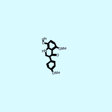 CCCOc1ccc(OC)c2c1NCC(c1ccc(OC)cc1)C2=O